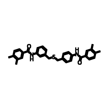 Cc1ccc(C(=O)Nc2ccc(CSCc3cccc(NC(=O)c4ccc(C)c(C)c4)c3)cc2)cc1C